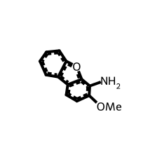 COc1ccc2c(oc3ccccc32)c1N